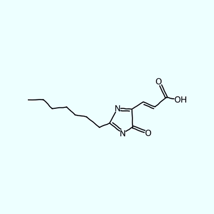 CCCCCCCC1=NC(=O)C(C=CC(=O)O)=N1